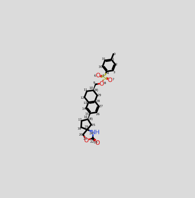 Cc1ccc(S(=O)(=O)OC[C@@H]2CCc3cc([C@@H]4CCC5(COC(=O)N5)C4)ccc3C2)cc1